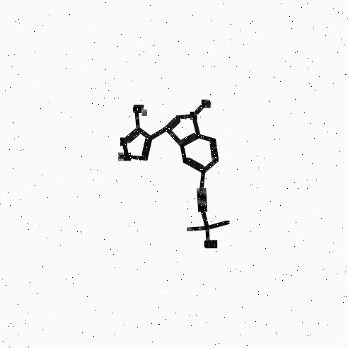 CCn1cc(-c2c[nH]nc2C(F)(F)F)c2cc(C#CC(C)(C)O)ccc21